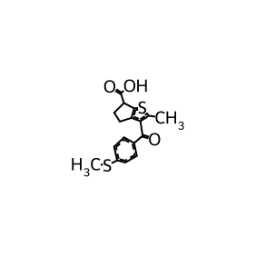 CSc1ccc(C(=O)c2c(C)sc3c2CCC3C(=O)O)cc1